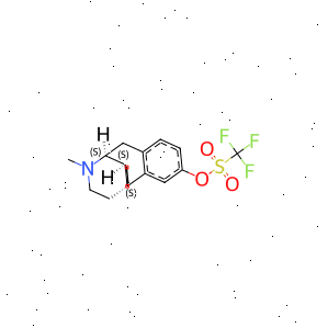 CN1CC[C@@]23CCCC[C@@H]2[C@@H]1Cc1ccc(OS(=O)(=O)C(F)(F)F)cc13